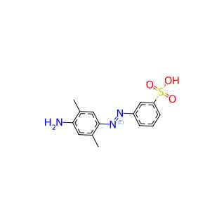 Cc1cc(/N=N/c2cccc(S(=O)(=O)O)c2)c(C)cc1N